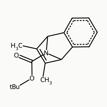 CC1=C(C)C2c3ccccc3C1N2C(=O)OC(C)(C)C